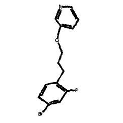 Fc1cc(Br)ccc1CCCOc1cccnc1